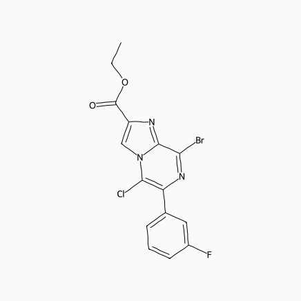 CCOC(=O)c1cn2c(Cl)c(-c3cccc(F)c3)nc(Br)c2n1